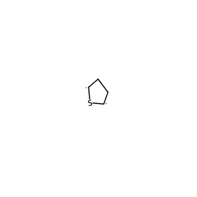 [CH]1CC[CH]S1